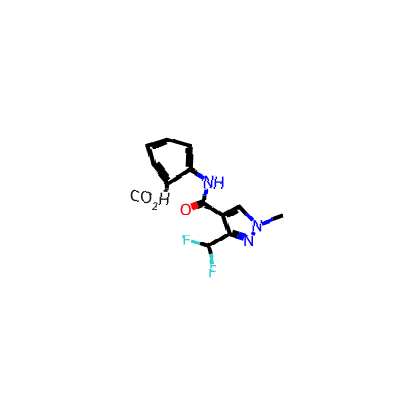 Cn1cc(C(=O)Nc2ccccc2C(=O)O)c(C(F)F)n1